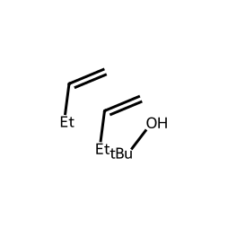 C=CCC.C=CCC.CC(C)(C)O